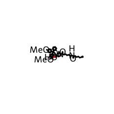 C#CCCCCC(=O)NCCCCCC(=O)N1CCC(CO)(COC(c2ccccc2)(c2ccc(OC)cc2)c2ccc(OC)cc2)CC1